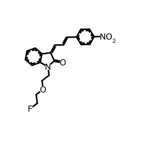 O=C1/C(=C\C=C\c2ccc([N+](=O)[O-])cc2)c2ccccc2N1CCOCCF